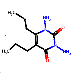 CCCc1c(CCC)n(N)c(=O)n(N)c1=O